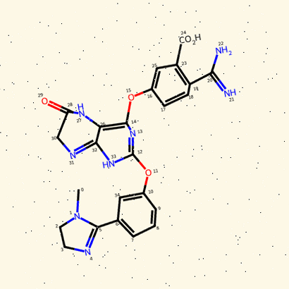 CN1CCN=C1c1cccc(OC2=NC(Oc3ccc(C(=N)N)c(C(=O)O)c3)=C3NC(=O)CN=C3N2)c1